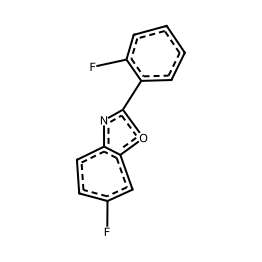 Fc1ccc2nc(-c3ccccc3F)oc2c1